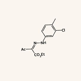 CCOC(=O)/C(=N\Nc1ccc(C)c(Cl)c1)C(C)=O